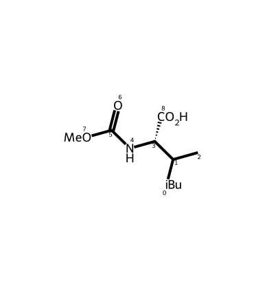 CCC(C)C(C)[C@H](NC(=O)OC)C(=O)O